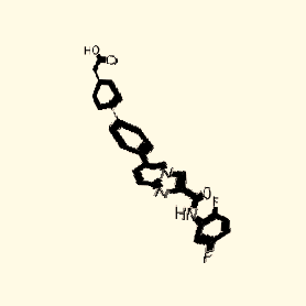 O=C(O)C[C@H]1CC[C@H](c2ccc(-c3ccc4nc(C(=O)Nc5cc(F)ccc5F)cn4c3)cc2)CC1